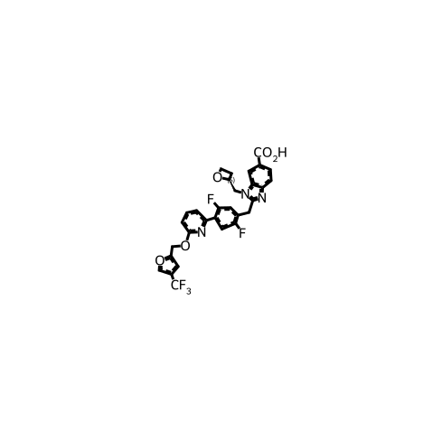 O=C(O)c1ccc2nc(Cc3cc(F)c(-c4cccc(OCc5cc(C(F)(F)F)co5)n4)cc3F)n(C[C@@H]3CCO3)c2c1